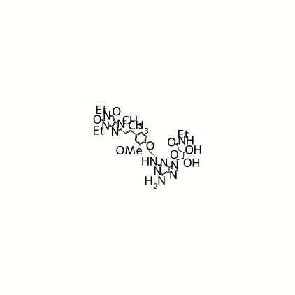 CCNC(=O)C1O[C@@H](n2cnc3c(N)nc(NCCOc4ccc(/C(C)=C/c5nc6c(c(=O)n(CC)c(=O)n6CC)n5C)cc4OC)nc32)[C@H](O)[C@@H]1O